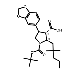 CCCC(C)(C)C[C@@H]1[C@@H](C(=O)O)C(c2ccc3c(c2)OCO3)CN1C(=O)OC(C)(C)C